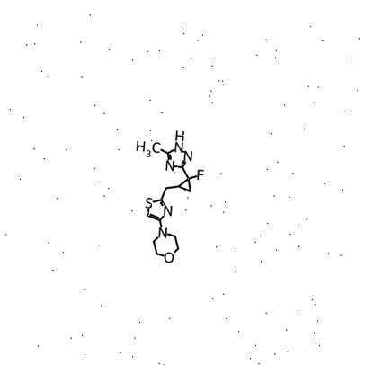 Cc1nc(C2(F)CC2Cc2nc(N3CCOCC3)cs2)n[nH]1